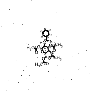 CC(=O)OC[C@H]1O[C@H](OC(C)=O)[C@@H](NC(=O)c2ccccc2)[C@@H](OC(C)=O)[C@@H]1OC(C)=O